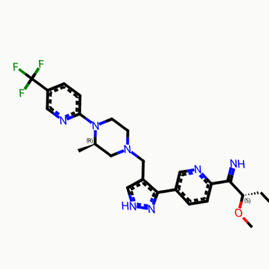 CC[C@H](OC)C(=N)c1ccc(-c2n[nH]cc2CN2CCN(c3ccc(C(F)(F)F)cn3)[C@H](C)C2)cn1